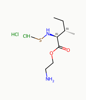 CC[C@H](C)[C@H](NSC)C(=O)OCCN.Cl.Cl